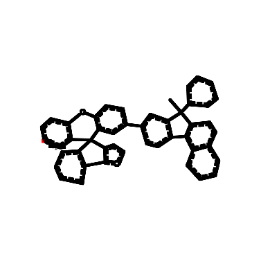 CC1(c2ccccc2)c2cc(-c3ccc4c(c3)C3(c5ccccc5-c5ccccc53)c3c(ccc5ccccc35)O4)ccc2-c2c1ccc1ccccc21